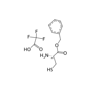 N[C@@H](CS)C(=O)OCc1ccccc1.O=C(O)C(F)(F)F